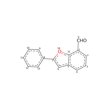 O=Cc1cccc2cc(-c3ccccc3)oc12